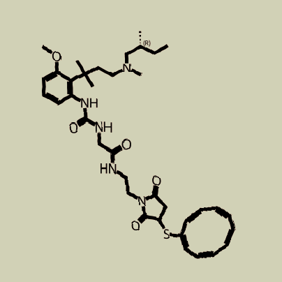 CC[C@@H](C)CN(C)CCC(C)(C)c1c(NC(=O)NCC(=O)NCCN2C(=O)CC(Sc3ccccccccc3)C2=O)cccc1OC